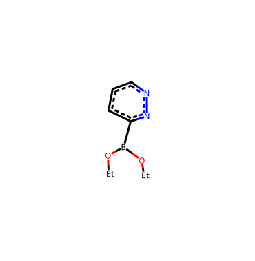 CCOB(OCC)c1cccnn1